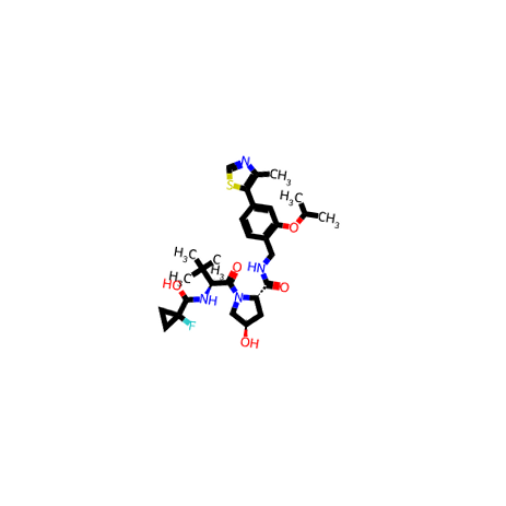 Cc1ncsc1-c1ccc(CNC(=O)[C@@H]2C[C@@H](O)CN2C(=O)[C@@H](NC(O)C2(F)CC2)C(C)(C)C)c(OC(C)C)c1